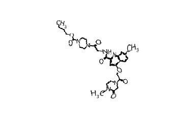 CCCCOC(=O)N1CCN(C(=O)CNC(=O)c2cc(OCC(=O)N3CCN(C)C(=O)C3)c3ccc(C)cc3n2)CC1